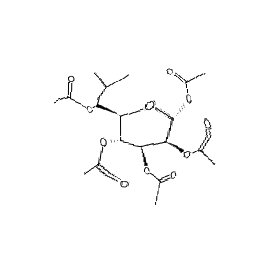 CC(=O)OC(C(C)C)[C@H]1O[C@H](OC(C)=O)[C@@H](OC(C)=O)[C@@H](OC(C)=O)[C@@H]1OC(C)=O